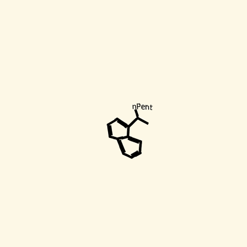 CCCCCC(C)c1cccc2ccccc12